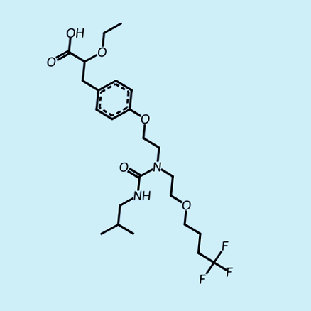 CCOC(Cc1ccc(OCCN(CCOCCCC(F)(F)F)C(=O)NCC(C)C)cc1)C(=O)O